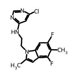 Cc1c(F)cc2c(cc(C)n2CCNc2cc(Cl)ncn2)c1F